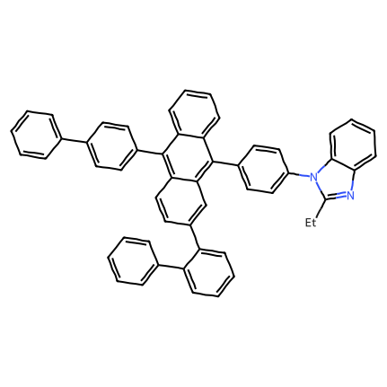 CCc1nc2ccccc2n1-c1ccc(-c2c3ccccc3c(-c3ccc(-c4ccccc4)cc3)c3ccc(-c4ccccc4-c4ccccc4)cc23)cc1